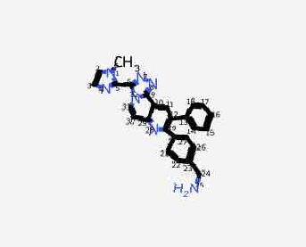 Cn1ccnc1-c1nnc2c3cc(-c4ccccc4)c(-c4ccc(CN)cc4)nc3ccn12